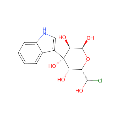 OC(Cl)[C@H]1O[C@H](O)[C@H](O)[C@](O)(c2c[nH]c3ccccc23)[C@H]1O